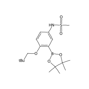 CC(C)(C)COc1ccc(NS(C)(=O)=O)cc1B1OC(C)(C)C(C)(C)O1